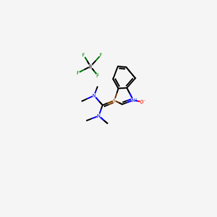 CN(C)C(N(C)C)=S1C=[N+]([O-])c2ccccc21.F[B-](F)(F)F